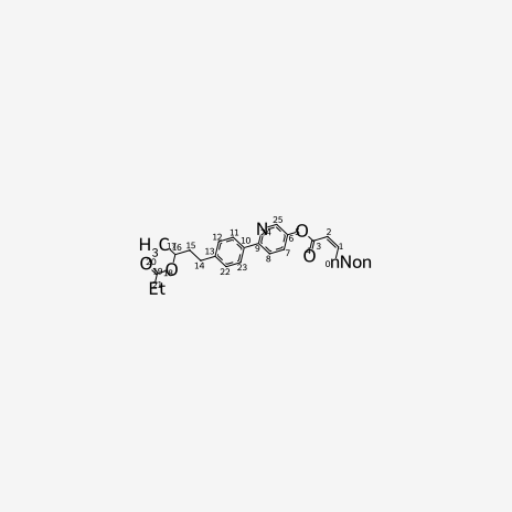 CCCCCCCCC/C=C\C(=O)Oc1ccc(-c2ccc(CCC(C)OC(=O)CC)cc2)nc1